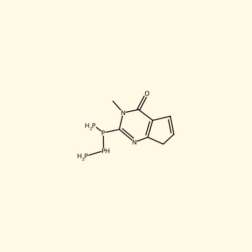 Cn1c(P(P)PP)nc2c(c1=O)C=CC2